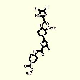 CCc1[nH]c(C(=O)NC2CCN(c3nc(C)c(C(=O)NC4CCN(C(=O)OC(C)(C)C)CC4)s3)CC2OC)nc1Cl